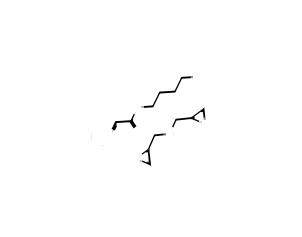 C(OCC1CO1)C1CO1.C=CC(=O)OCCCCO